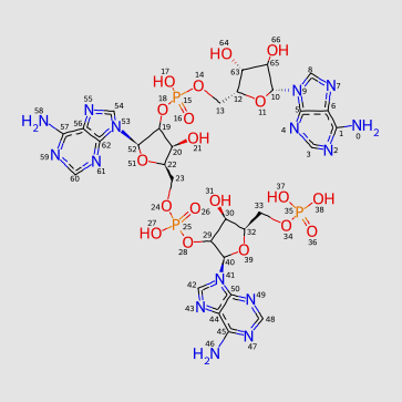 Nc1ncnc2c1ncn2[C@@H]1O[C@H](COP(=O)(O)OC2[C@@H](O)[C@@H](COP(=O)(O)OC3[C@@H](O)[C@@H](COP(=O)(O)O)O[C@H]3n3cnc4c(N)ncnc43)O[C@H]2n2cnc3c(N)ncnc32)[C@H](O)C1O